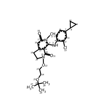 Cn1c(Nc2ccc(C3CC3)cc2Cl)c2c(cc1=O)CCN(OCCOC(C)(C)C)C2=O